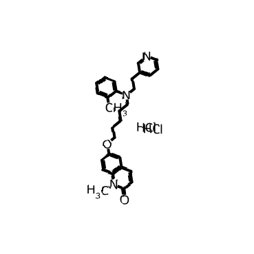 Cc1ccccc1N(CCCCCOc1ccc2c(ccc(=O)n2C)c1)CCc1cccnc1.Cl.Cl